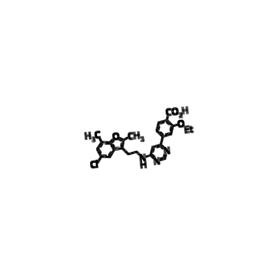 CCOc1cc(-c2cc(NCCc3c(C)oc4c(C)cc(Cl)cc34)ncn2)ccc1C(=O)O